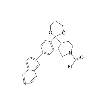 CCC(=O)N1CCC(C2(c3ccc(-c4ccc5cnccc5c4)cc3)OCCCO2)CC1